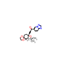 C[Si](C)(C)OC1(C#CC(=O)c2ccc3ncnn3c2)CCC2(CC1)OCCO2